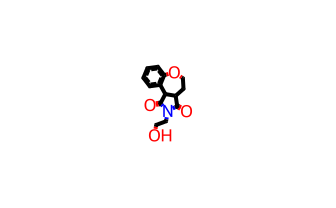 O=C1C2CCOc3ccccc3C2C(=O)N1CCO